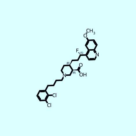 COc1ccc2nccc([C@@H](F)CC[C@@H]3CCN(CCCCc4cccc(Cl)c4Cl)C[C@@H]3C(=O)O)c2c1